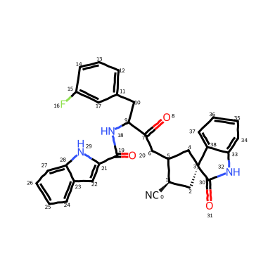 N#C[C@@H]1C[C@@]2(CC1CC(=O)C(Cc1cccc(F)c1)NC(=O)c1cc3ccccc3[nH]1)C(=O)Nc1ccccc12